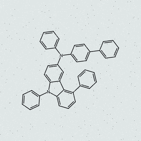 c1ccc(-c2ccc(N(c3ccccc3)c3ccc4c(c3)c3c(-c5ccccc5)cccc3n4-c3ccccc3)cc2)cc1